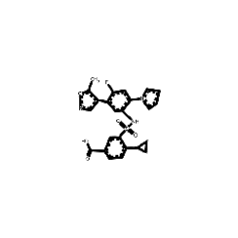 Cc1oncc1-c1cc(NS(=O)(=O)c2cc(C(=O)O)ccc2C2CC2)c(-n2cccc2)cc1F